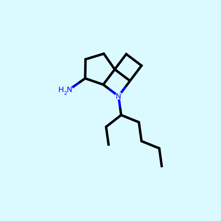 CCCCC(CC)N1C2CCC23CCC(N)C13